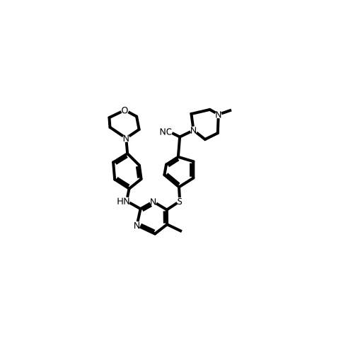 Cc1cnc(Nc2ccc(N3CCOCC3)cc2)nc1Sc1ccc(C(C#N)N2CCN(C)CC2)cc1